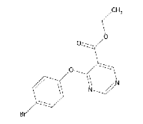 CCOC(=O)c1cncnc1Oc1ccc(Br)cc1